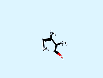 CC=C(C)C(C)C=O